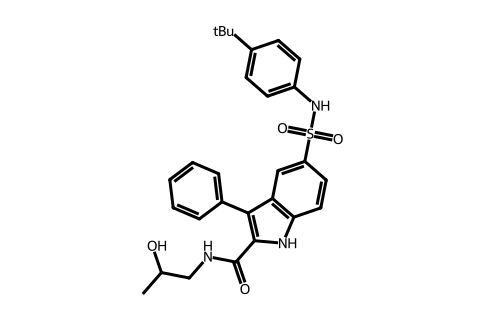 CC(O)CNC(=O)c1[nH]c2ccc(S(=O)(=O)Nc3ccc(C(C)(C)C)cc3)cc2c1-c1ccccc1